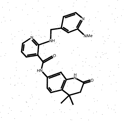 CNc1cc(CNc2ncccc2C(=O)Nc2ccc3c(c2)NC(=O)CC3(C)C)ccn1